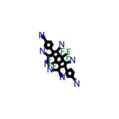 N#CC(C#N)=C1C(c2ccc(C#N)cc2)=C(C#N)c2c1c(C(F)(F)F)c1c(c2C(F)(F)F)C(C#N)=C(c2ccc(C#N)cc2)C1=C(C#N)C#N